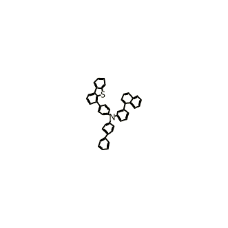 c1ccc(-c2ccc(N(c3ccc(-c4cccc5c4sc4ccccc45)cc3)c3cccc(-c4cccc5ccccc45)c3)cc2)cc1